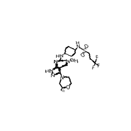 C[C@H]1CN(c2n[nH]c3nc(N[C@H]4CC[C@H](NS(=O)(=O)CCC(F)(F)F)CC4)[n+](O)cc23)CCO1